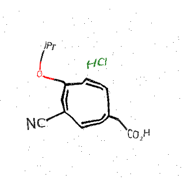 CC(C)Oc1ccc(C(=O)O)cc1C#N.Cl